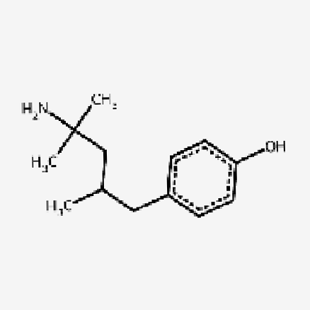 CC(Cc1ccc(O)cc1)CC(C)(C)N